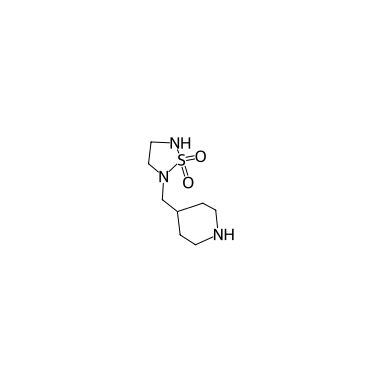 O=S1(=O)NCCN1CC1CCNCC1